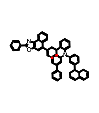 C1=CCC2C(=C1)C=CCC2c1cccc(N(c2cccc(-c3ccccc3)c2)c2ccccc2C2C=CC=C(c3cc4oc(-c5ccccc5)nc4c4ccccc34)C2)c1